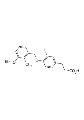 CCOc1cccc(COc2ccc(CCC(=O)O)cc2F)c1C